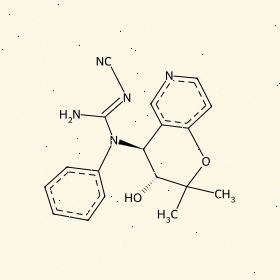 CC1(C)Oc2ccncc2[C@H](N(C(N)=NC#N)c2ccccc2)[C@H]1O